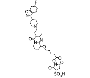 Cc1nc2n(c(=O)c1CCN1CCC(c3noc4cc(F)ccc34)CC1)CCCC2OCCCCC(=O)ON1C(=O)CC(S(=O)(=O)O)C1=O